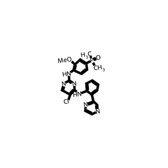 COc1cc(P(C)(C)=O)ccc1Nc1ncc(Cl)c(Nc2ccccc2-c2cnccn2)n1